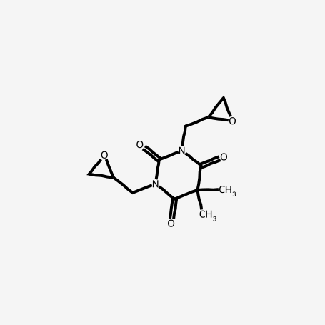 CC1(C)C(=O)N(CC2CO2)C(=O)N(CC2CO2)C1=O